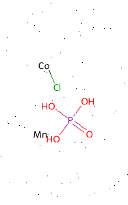 O=P(O)(O)O.[Cl][Co].[Mn]